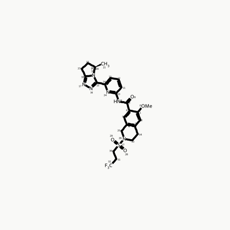 COc1cc2c(cc1C(=O)Nc1cccc(-c3nnc4n3[C@H](C)CC4)n1)CN(S(=O)(=O)CCC(F)(F)F)CC2